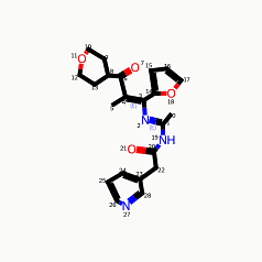 C/C(=N\C(=C(/C)C(=O)C1CCOCC1)c1ccco1)NC(=O)Cc1cccnc1